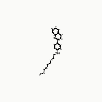 FCCOCCOCCNc1ccc(-c2ccc3ccccc3n2)cc1